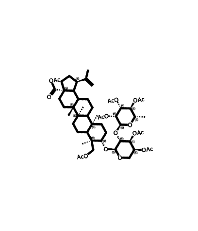 C=C(C)[C@@H]1CC[C@]2(C(=O)OC(C)=O)CC[C@]3(C)C(CCC4[C@@]5(C)CC[C@H](O[C@@H]6OC[C@H](OC(C)=O)[C@H](OC(C)=O)[C@H]6O[C@@H]6O[C@@H](C)[C@H](OC(C)=O)[C@@H](OC(C)=O)[C@H]6OC(C)=O)[C@@](C)(COC(C)=O)C5CC[C@]43C)C12